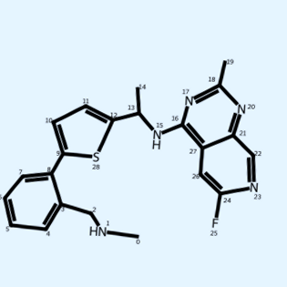 CNCc1ccccc1-c1ccc(C(C)Nc2nc(C)nc3cnc(F)cc23)s1